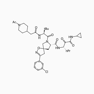 CCC[C@H](NC(=O)[C@@H]1C[C@]2(CC(c3cccc(Cl)c3)=NO2)CN1C(=O)[C@@H](NC(=O)CC1CCN(C(C)=O)CC1)C(C)(C)C)C(=O)C(=O)NC1CC1